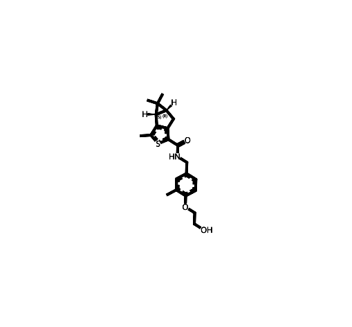 Cc1cc(CNC(=O)c2sc(C)c3c2C[C@@H]2[C@H]3C2(C)C)ccc1OCCO